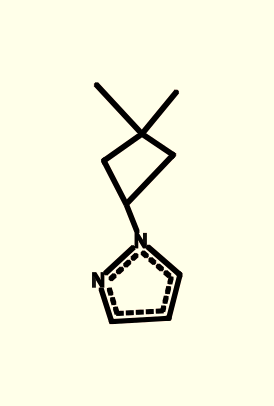 CC1(C)CC(n2cccn2)C1